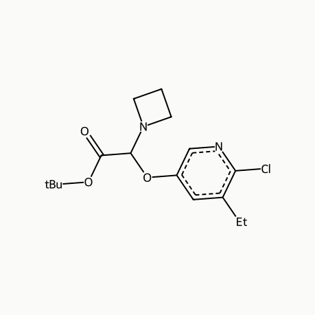 CCc1cc(OC(C(=O)OC(C)(C)C)N2CCC2)cnc1Cl